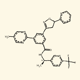 Cc1cnc(-c2cc(C(=O)N[C@H](C)c3ccc(C(F)(F)F)nc3)cc(C3=NOC(c4ccccn4)C3)c2)nc1